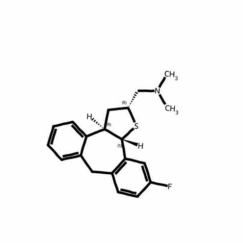 CN(C)C[C@H]1C[C@@H]2c3ccccc3Cc3ccc(F)cc3[C@H]2S1